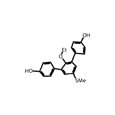 CCOc1c(-c2ccc(O)cc2)cc(SC)cc1-c1ccc(O)cc1